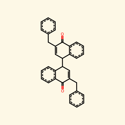 O=C1C(Cc2ccccc2)=CC(C2C=C(Cc3ccccc3)C(=O)c3ccccc32)c2ccccc21